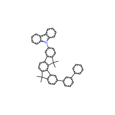 CC1(C)c2ccc(-c3cccc(-c4ccccc4)c3)cc2-c2c1ccc1c2C(C)(C)c2ccc(-n3c4ccccc4c4ccccc43)cc2-1